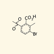 Cc1c(Br)ccc(S(C)(=O)=O)c1C(=O)O